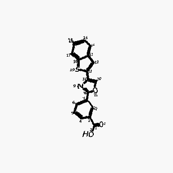 O=C(O)c1cccc(-c2nc(-c3cc4ccccc4s3)co2)c1